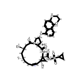 CC[C@H]1CC(=O)N2C[C@H](Oc3nccc4c5c(ccc34)OCCO5)C[C@H]2C(=O)N[C@]2(C(=O)NS(=O)(=O)C3CC3)C[C@H]2/C=C\CC[C@H](C)C1